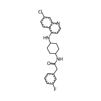 O=C(Cc1cccc(F)c1)NC1CCC(Nc2ccnc3cc(Cl)ccc23)CC1